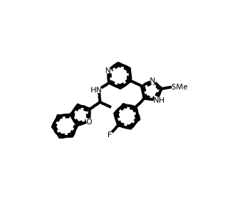 CSc1nc(-c2ccnc(NC(C)c3cc4ccccc4o3)c2)c(-c2ccc(F)cc2)[nH]1